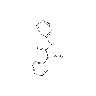 N#[N+]N(C(=O)Nc1ccccc1)c1ccccc1